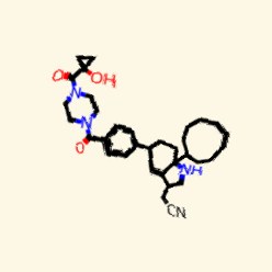 N#CCC1CNC2(C3CCCCCCCC3)CCC(c3ccc(C(=O)N4CCN(C(=O)C5(O)CC5)CC4)cc3)CC12